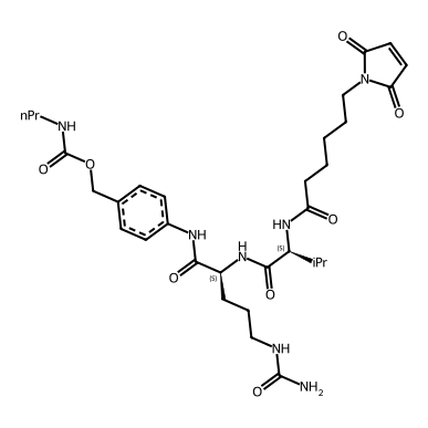 CCCNC(=O)OCc1ccc(NC(=O)[C@H](CCCNC(N)=O)NC(=O)[C@@H](NC(=O)CCCCCN2C(=O)C=CC2=O)C(C)C)cc1